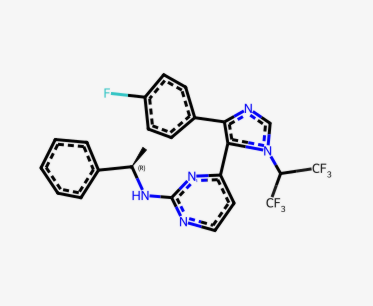 C[C@@H](Nc1nccc(-c2c(-c3ccc(F)cc3)ncn2C(C(F)(F)F)C(F)(F)F)n1)c1ccccc1